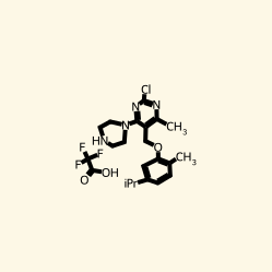 Cc1ccc(C(C)C)cc1OCc1c(C)nc(Cl)nc1N1CCNCC1.O=C(O)C(F)(F)F